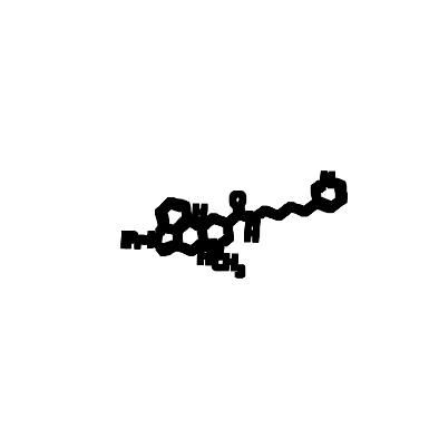 CC(C)n1cc2c3c(cccc31)[C@H]1CC(C(=O)NCCCCc3cccnc3)CN(C)[C@@H]1C2